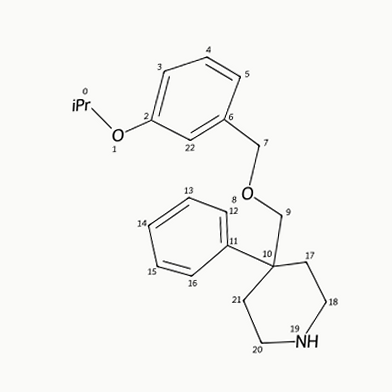 CC(C)Oc1cccc(COCC2(c3ccccc3)CCNCC2)c1